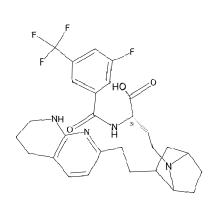 O=C(N[C@@H](CCN1C2CCC1C(CCc1ccc3c(n1)NCCC3)C2)C(=O)O)c1cc(F)cc(C(F)(F)F)c1